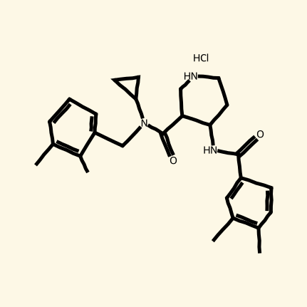 Cc1ccc(C(=O)NC2CCNCC2C(=O)N(Cc2cccc(C)c2C)C2CC2)cc1C.Cl